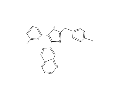 Cc1cccc(-c2[nH]c(Cc3ccc(F)cc3)nc2-c2ccc3nccnc3c2)n1